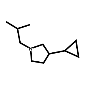 CC(C)CN1CCC(C2CC2)C1